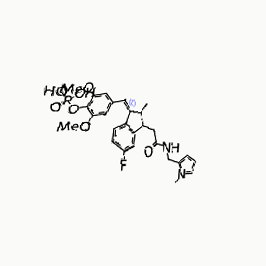 COc1cc(/C=C2\c3ccc(F)cc3C(CC(=O)NCc3cccn3C)C2C)cc(OC)c1OP(=O)(O)O